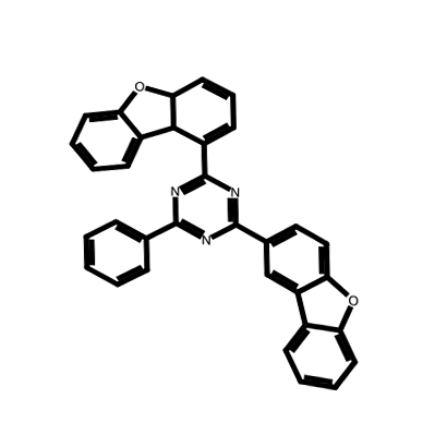 C1=CC2Oc3ccccc3C2C(c2nc(-c3ccccc3)nc(-c3ccc4oc5ccccc5c4c3)n2)=C1